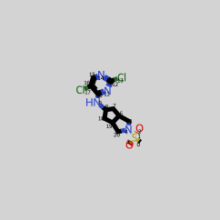 CS(=O)(=O)N1CC2CC(Nc3nc(Cl)ncc3Cl)CC2C1